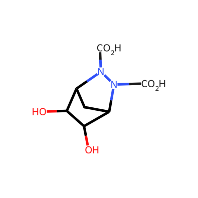 O=C(O)N1C2CC(C(O)C2O)N1C(=O)O